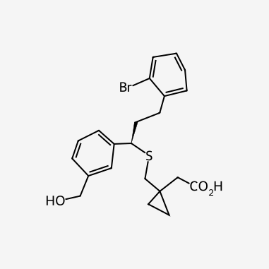 O=C(O)CC1(CS[C@H](CCc2ccccc2Br)c2cccc(CO)c2)CC1